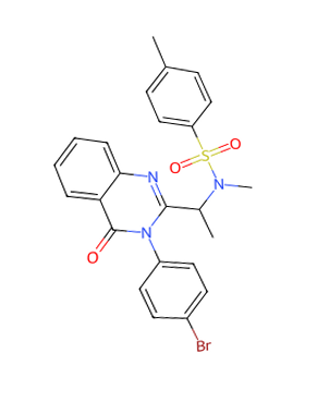 Cc1ccc(S(=O)(=O)N(C)C(C)c2nc3ccccc3c(=O)n2-c2ccc(Br)cc2)cc1